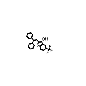 Oc1c(C=C(c2ccccc2)c2ccccc2)sc2ccc(C(F)(F)F)cc12